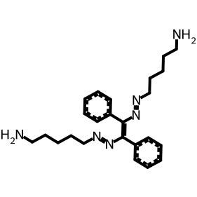 NCCCCCN=NC(=C(N=NCCCCCN)c1ccccc1)c1ccccc1